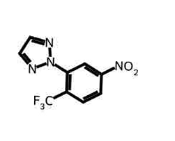 O=[N+]([O-])c1ccc(C(F)(F)F)c(-n2nccn2)c1